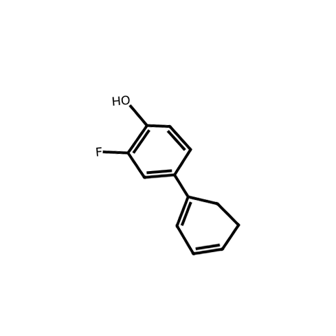 Oc1ccc(C2=CC=CCC2)cc1F